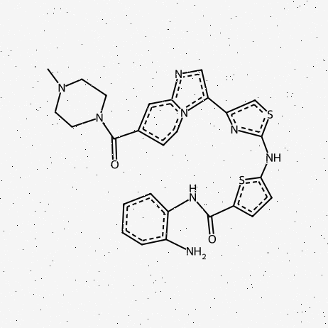 CN1CCN(C(=O)c2ccn3c(-c4csc(Nc5ccc(C(=O)Nc6ccccc6N)s5)n4)cnc3c2)CC1